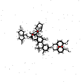 COc1ccc(CN(Cc2ccc(OC)cc2)c2cc(C)c(C(F)(F)F)c(-c3c(Cl)cc4c(N5CC6CCC(C5)N6C(=O)OC(C)(C)C)nc(OCC56CC(F)CN5C[C@H](F)C6)nc4c3F)n2)cc1